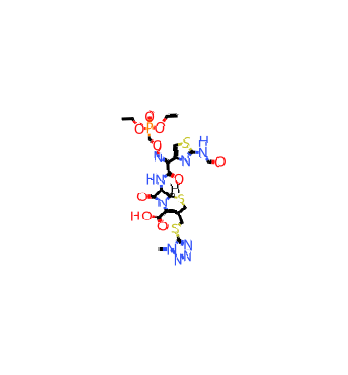 CCOP(=O)(CON=C(C(=O)NC1C(=O)N2C(C(=O)O)=C(CSc3nnnn3C)CS[C@@H]12)c1csc(NC=O)n1)OCC